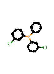 Clc1cccc(P(c2ccccc2)c2cccc(Cl)c2)c1